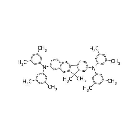 Cc1cc(C)cc(N(c2cc(C)cc(C)c2)c2ccc3c(c2)C(C)(C)c2cc4cc(N(c5cc(C)cc(C)c5)c5cc(C)cc(C)c5)ccc4cc2-3)c1